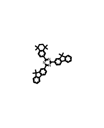 CC1(C)CCC(C)(C)c2cc(-c3nc(-c4ccc5c(c4)C(C)(C)c4ccccc4-5)nc(-c4ccc5c(c4)C(C)(C)c4ccccc4-5)n3)ccc21